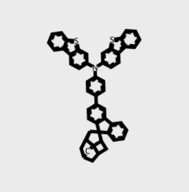 c1ccc2c(c1)-c1cc(-c3ccc(N(c4ccc5c(c4)sc4ccccc45)c4ccc5c(c4)sc4ccccc45)cc3)ccc1C21C2CC3CC4CC1C4(C3)C2